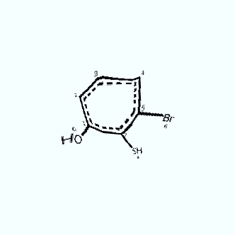 Oc1cccc(Br)c1S